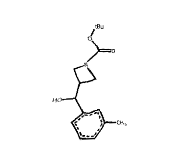 Cc1cccc(C(O)C2CN(C(=O)OC(C)(C)C)C2)c1